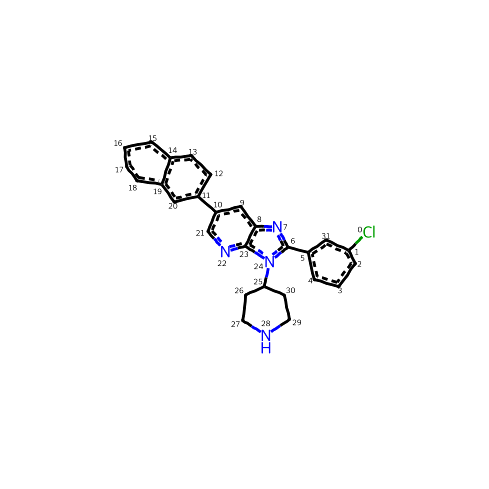 Clc1cccc(-c2nc3cc(-c4ccc5ccccc5c4)cnc3n2C2CCNCC2)c1